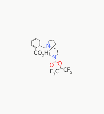 O=C(O)c1ccccc1CN1CCCC12CCN(C(=O)OC(C(F)(F)F)C(F)(F)F)CC2